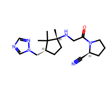 CC1(C)[C@@H](Cn2cncn2)CC[C@@]1(C)NCC(=O)N1CCC[C@H]1C#N